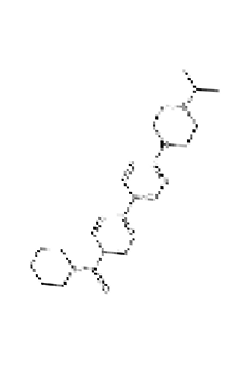 CC(C)N1CCN(c2ccc(-c3ccc(C(=O)N4CCCCC4)cc3)cn2)CC1